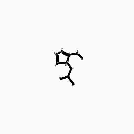 CSc1nnnn1CC(C)C